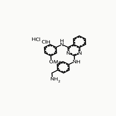 COc1cccc(Nc2nc(Nc3ccc(CN)cc3)nc3ccccc23)c1.Cl.Cl